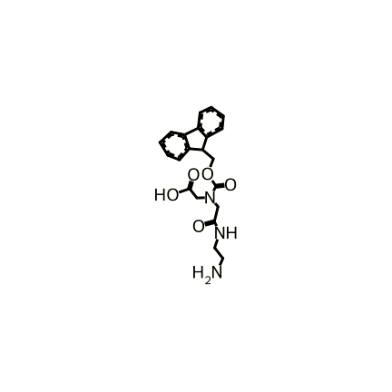 NCCNC(=O)CN(CC(=O)O)C(=O)OCC1c2ccccc2-c2ccccc21